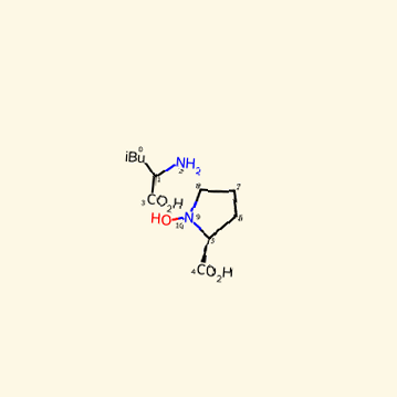 CCC(C)C(N)C(=O)O.O=C(O)[C@@H]1CCCN1O